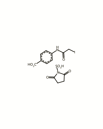 O=C(CI)Nc1ccc(C(=O)O)cc1.O=C1CCC(=O)N1S(=O)(=O)O